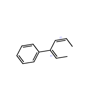 C/C=C\C(=C/C)c1ccccc1